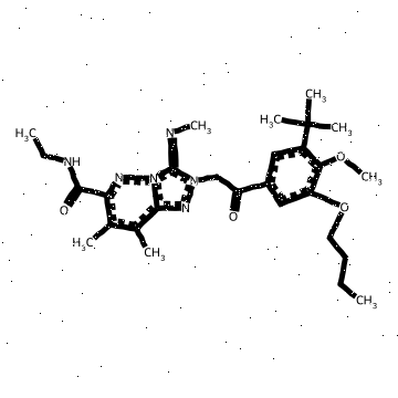 CCCCOc1cc(C(=O)Cn2nc3c(C)c(C)c(C(=O)NCC)nn3/c2=N/C)cc(C(C)(C)C)c1OC